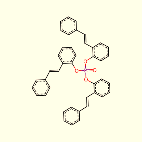 O=P(Oc1ccccc1/C=C/c1ccccc1)(Oc1ccccc1/C=C/c1ccccc1)Oc1ccccc1/C=C/c1ccccc1